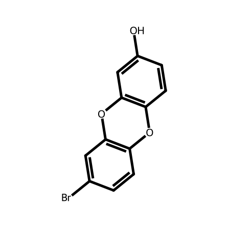 Oc1ccc2c(c1)Oc1cc(Br)ccc1O2